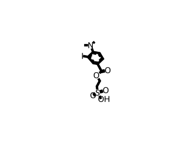 CN(C)c1ccc(C(=O)OCCS(=O)(=O)O)cc1I